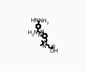 Cc1nc(CCC(=O)O)n(Cc2ccc3c(c2)nc(C(N)c2ccc(C(=N)N)cc2)n3C)c1C